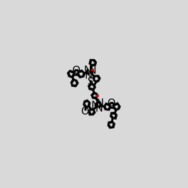 c1ccc(-c2ccc(-c3cccc4oc5cc(-c6nc(-c7ccc(-c8ccc9sc%10c(-c%11nc(-c%12ccccc%12)nc(-c%12ccc%13c(c%12)oc%12cccc(-c%14ccccc%14)c%12%13)n%11)cccc%10c9c8)cc7)nc(-c7cccc8oc9ccccc9c78)n6)ccc5c34)cc2)cc1